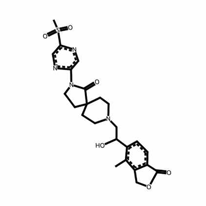 Cc1c(C(O)CN2CCC3(CC2)CCN(c2cnc(S(C)(=O)=O)cn2)C3=O)ccc2c1COC2=O